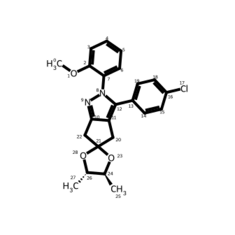 COc1ccccc1-n1nc2c(c1-c1ccc(Cl)cc1)CC1(C2)O[C@@H](C)[C@H](C)O1